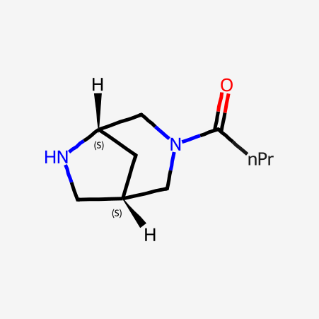 CCCC(=O)N1C[C@@H]2CN[C@@H](C2)C1